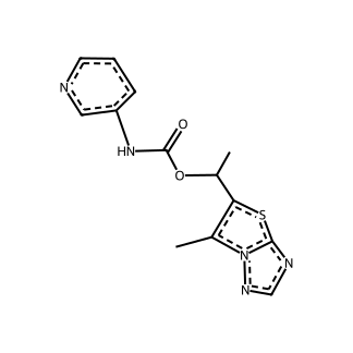 Cc1c(C(C)OC(=O)Nc2cccnc2)sc2ncnn12